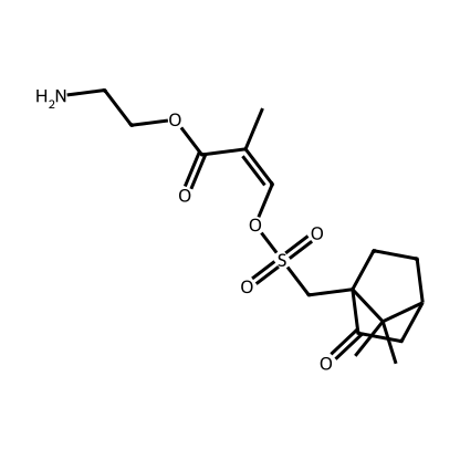 CC(=COS(=O)(=O)CC12CCC(CC1=O)C2(C)C)C(=O)OCCN